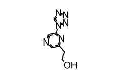 OCCc1cncc(-n2cnnn2)n1